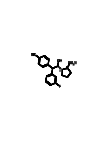 N#Cc1ccc(C(c2cccc(F)c2)C(O)[C@H]2CCCN2C(=O)O)cc1